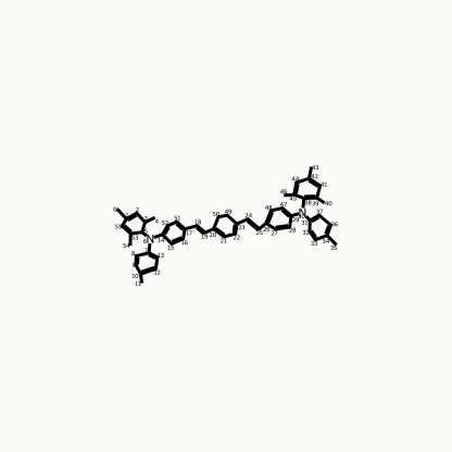 CC1=CC(C)C(N(c2ccc(C)cc2)c2ccc(C=CC3=CC=C(C=Cc4ccc(N(c5ccc(C)cc5)c5c(C)cc(C)cc5C)cc4)CC3)cc2)C(C)=C1